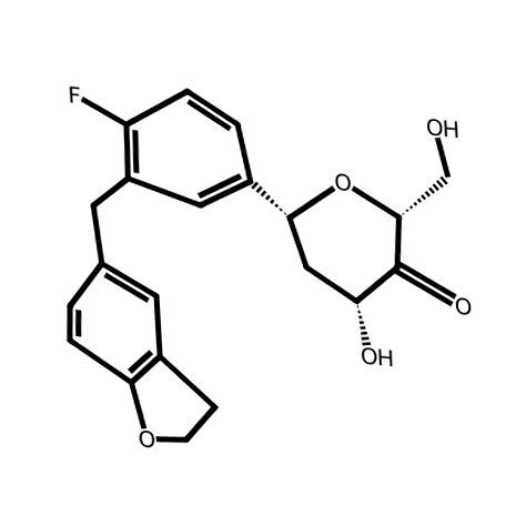 O=C1[C@H](O)C[C@H](c2ccc(F)c(Cc3ccc4c(c3)CCO4)c2)O[C@@H]1CO